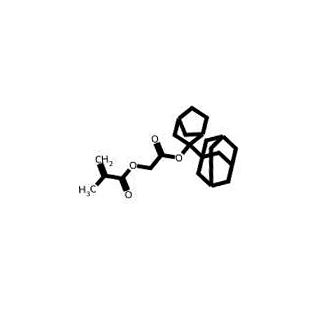 C=C(C)C(=O)OCC(=O)OC1(C23CC4CC(CC(C4)C2)C3)CC2CCC1C2